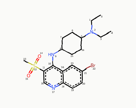 CCN(CC)C1CCC(Nc2c(S(C)(=O)=O)cnc3ccc(Br)cc23)CC1